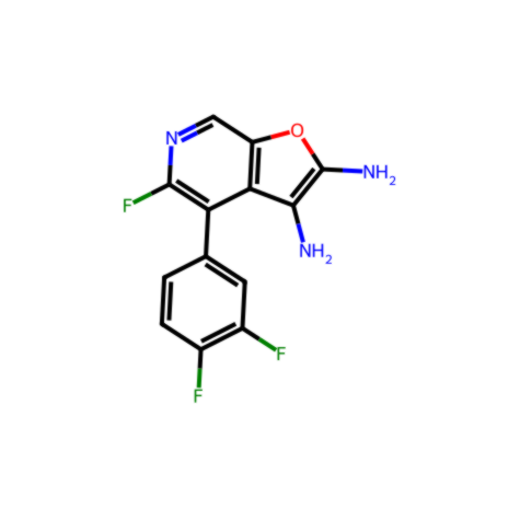 Nc1oc2cnc(F)c(-c3ccc(F)c(F)c3)c2c1N